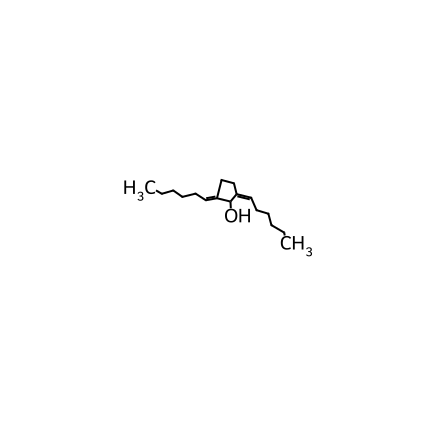 CCCCCC=C1CCC(=CCCCCC)C1O